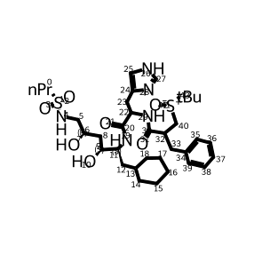 CCCS(=O)(=O)NC[C@H](O)C[C@H](O)[C@H](CC1CCCCC1)NC(=O)C(Cc1c[nH]cn1)NC(=O)C(Cc1ccccc1)C[S+]([O-])C(C)(C)C